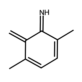 C=C1C(=N)C(C)=CC=C1C